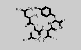 CC(C)C[C@H](NC(=O)[C@@H](N)CC(C)C)C(=O)N[C@H](C(=O)N[C@@H](Cc1ccc(O)cc1)C(=O)O)C(C)C